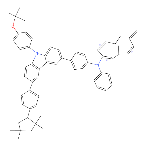 C=C/C=C\C(C)/C=C(\C=C/CC)N(c1ccccc1)c1ccc(-c2ccc3c(c2)c2cc(-c4ccc(C(CC(C)(C)C)C(C)(C)C)cc4)ccc2n3-c2ccc(OC(C)(C)C)cc2)cc1